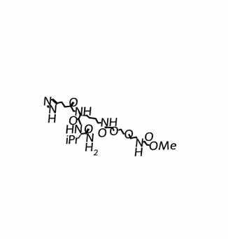 COCC(=O)NCCOCCOCC(=O)NCCCC[C@H](NCC(=O)CCc1cnc[nH]1)C(=O)CN[C@@H](C(N)=O)C(C)C